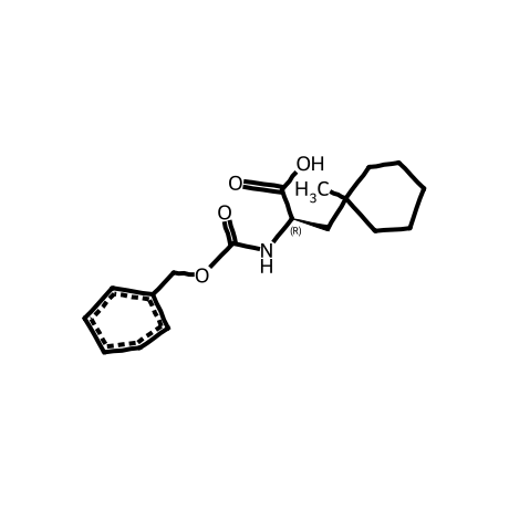 CC1(C[C@@H](NC(=O)OCc2ccccc2)C(=O)O)CCCCC1